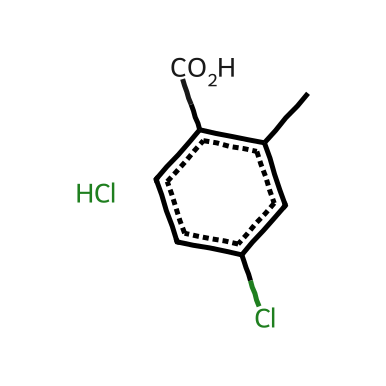 Cc1cc(Cl)ccc1C(=O)O.Cl